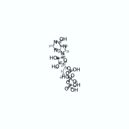 CCCC(OP(=O)(O)OP(=O)(O)OP(=O)(O)O)[C@H]1O[C@@H](n2cnc3c(O)ncnc32)[C@H](O)[C@@H]1O